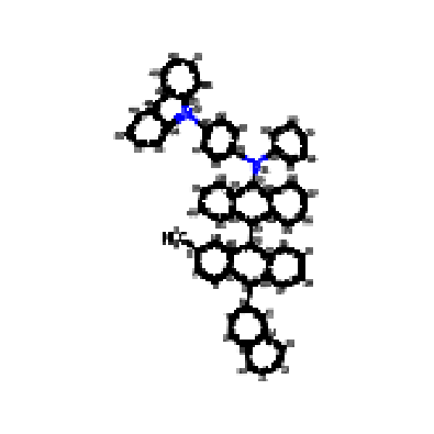 Cc1ccc2c(-c3ccc4ccccc4c3)c3ccccc3c(-c3c4ccccc4c(N(c4ccccc4)c4ccc(-n5c6ccccc6c6ccccc65)cc4)c4ccccc34)c2c1